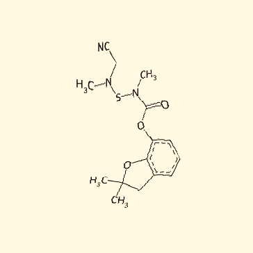 CN(CC#N)SN(C)C(=O)Oc1cccc2c1OC(C)(C)C2